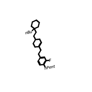 CCCCCc1ccc(CCC2=CCC(CCC3(CCCC)CCCCC3)CC2)cc1F